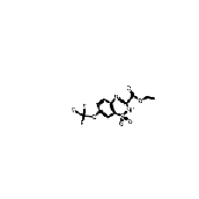 CCOC(=O)C1=Nc2ccc(OC(F)(F)F)cc2S(=O)(=O)N1